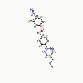 CCCc1cnc(-c2ccc(COc3ccc(C#N)c(F)c3)cc2)nc1